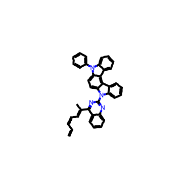 C=C/C=C\C=C(/C)c1nc(-n2c3ccccc3c3c4c5ccccc5n(-c5ccccc5)c4ccc32)nc2ccccc12